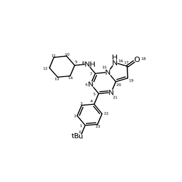 CC(C)(C)c1ccc(-c2nc(NC3CCCCC3)n3[nH]c(=O)cc3n2)cc1